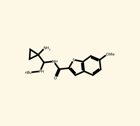 CCCCPC(NC(=O)c1cc2ccc(OC)cc2s1)C1(N)CC1